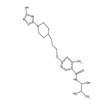 CCCc1noc(N2CCC(CCCOc3ccc(C(=O)NC(O)C(C)O)c(C)c3)CC2)n1